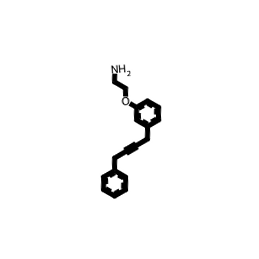 NCCOc1cccc(CC#CCc2ccccc2)c1